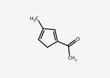 CC(=O)C1=CC(C)=CC1